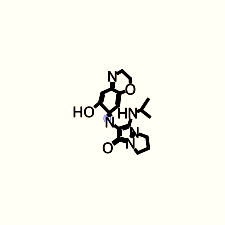 CC(C)Nc1c(/N=C2\C=C3OCCN=C3C=C2O)c(=O)n2n1CCC2